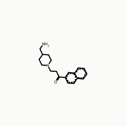 NCC1CCN(CCC(=O)c2ccc3ccccc3c2)CC1